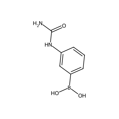 NC(=O)Nc1cccc(B(O)O)c1